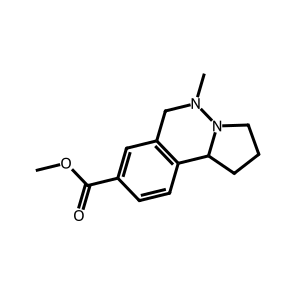 COC(=O)c1ccc2c(c1)CN(C)N1CCCC21